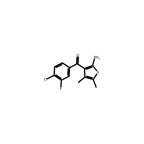 Cc1sc(N)c(C(=O)c2ccc(Cl)c(F)c2)c1C